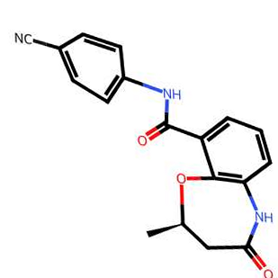 C[C@@H]1CC(=O)Nc2cccc(C(=O)Nc3ccc(C#N)cc3)c2O1